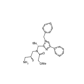 COCC(=O)N(C[C@@H](F)CN)[C@@H](c1nc(-c2ccccc2)cn1Cc1ccccc1)C(C)(C)C